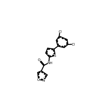 O=C(Nc1ccc(-c2cc(Cl)cc(Cl)c2)s1)c1cnoc1